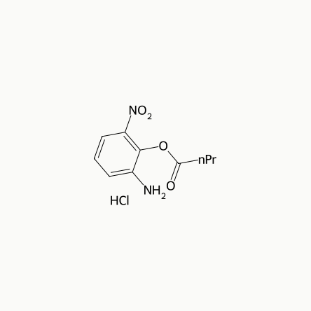 CCCC(=O)Oc1c(N)cccc1[N+](=O)[O-].Cl